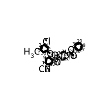 Cc1cc(Cl)cc(Oc2ccc(C#N)cc2S(=O)(=O)N2CCN(C(=O)Oc3ccccc3)CC2)c1